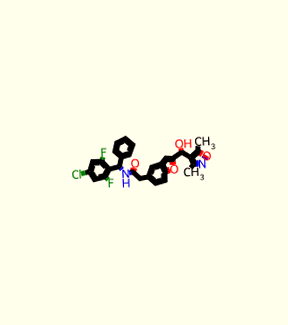 Cc1noc(C)c1C(O)c1cc2cc(CC(=O)NC(c3ccccc3)c3c(F)cc(Cl)cc3F)ccc2o1